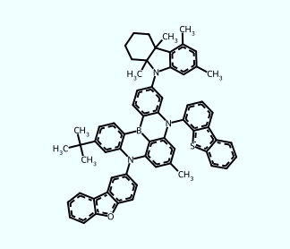 Cc1cc2c3c(c1)N(c1cccc4c1sc1ccccc14)c1cc(N4c5cc(C)cc(C)c5C5(C)CCCCC45C)ccc1B3c1ccc(C(C)(C)C)cc1N2c1ccc2oc3ccccc3c2c1